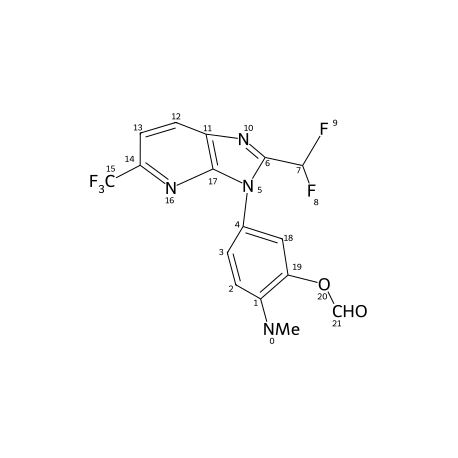 CNc1ccc(-n2c(C(F)F)nc3ccc(C(F)(F)F)nc32)cc1OC=O